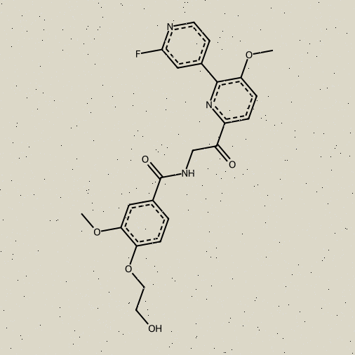 COc1cc(C(=O)NCC(=O)c2ccc(OC)c(-c3ccnc(F)c3)n2)ccc1OCCO